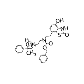 CC(C)(CNCCN(CCc1ccc(O)c2[nH]c(=O)sc12)C(=O)OCc1ccccc1)c1ccccc1